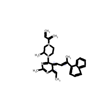 C=CC(=C)N1CCN(c2nc(C)nc(=C\C)/c2=C\C=C(/C)c2cccc3ccccc23)C(C)C1